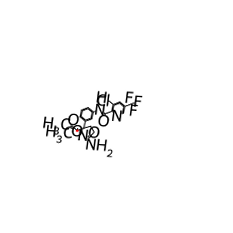 CC1(C)Oc2ccc(NC(=O)c3ncc(C(F)(F)F)cc3Cl)cc2C2(COC(N)=N2)C12COC2